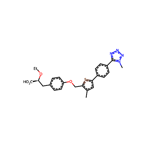 CCO[C@@H](Cc1ccc(OCc2sc(-c3ccc(-c4nnnn4C)cc3)cc2C)cc1)C(=O)O